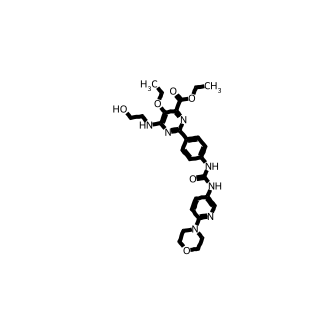 CCOC(=O)c1nc(-c2ccc(NC(=O)Nc3ccc(N4CCOCC4)nc3)cc2)nc(NCCO)c1OCC